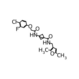 Cc1cc(CNC(=O)C23CC(NC(=O)COc4ccc(Cl)c(F)c4)(C2)C3)c(C)o1